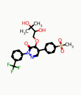 CC(C)(O)C(O)COc1c(-c2ccc(S(C)(=O)=O)cc2)cnn(-c2cccc(C(F)(F)F)c2)c1=O